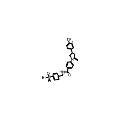 C=C1CC(c2ccc(C(F)(F)F)cc2)CN1c1ccc(C(=O)NCc2ccc(S(=O)(=O)CC)cc2)cc1